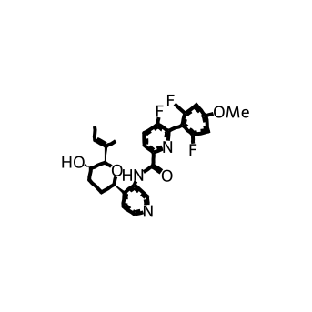 C/C=C(\C)[C@H]1O[C@@H](c2ccncc2NC(=O)c2ccc(F)c(-c3c(F)cc(OC)cc3F)n2)CC[C@@H]1O